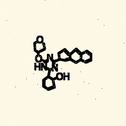 OC1C=CC=CC1C1N=C(C2C=C3CC4C=CC=CC4=CC3=CC2)N=C(OC2CCOCC2)N1